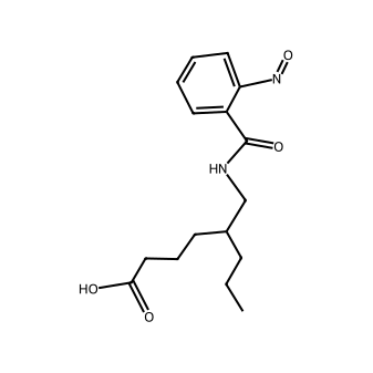 CCCC(CCCC(=O)O)CNC(=O)c1ccccc1N=O